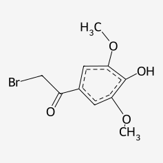 COc1cc(C(=O)CBr)cc(OC)c1O